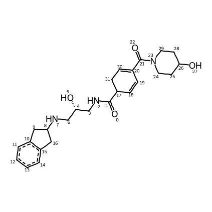 O=C(NC[C@@H](O)CNC1Cc2ccccc2C1)C1C=CC(C(=O)N2CCC(O)CC2)=CC1